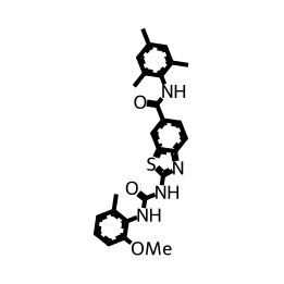 COc1cccc(C)c1NC(=O)Nc1nc2ccc(C(=O)Nc3c(C)cc(C)cc3C)cc2s1